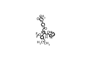 CC(C)Sc1ccc(OC(F)F)c(-c2nn(CC(=O)N3CCC(N4CCN(C)C(=O)C4)CC3)cc2NC(O)c2cnn3cccnc23)c1